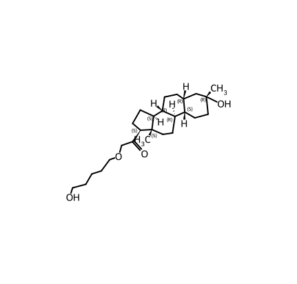 C[C@@]1(O)CC[C@H]2[C@H](CC[C@@H]3[C@@H]2CC[C@]2(C)[C@@H](C(=O)COCCCCCO)CC[C@@H]32)C1